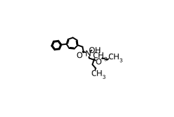 CCCOC(C)(CCC)CN(O)C(=O)CC1=CCC=C(c2ccccc2)C=C1